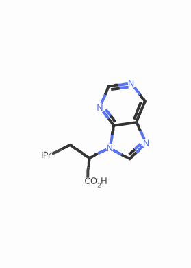 CC(C)CC(C(=O)O)n1cnc2cncnc21